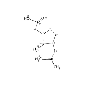 C=C(C)CC1CCC(CC(=O)O)C1=C